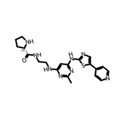 Cc1nc(NCCNC(=O)[C@@H]2CCCN2)cc(Nc2ncc(-c3ccncc3)s2)n1